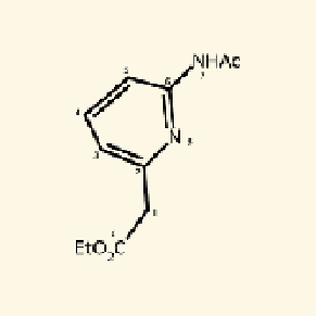 CCOC(=O)Cc1cccc(NC(C)=O)n1